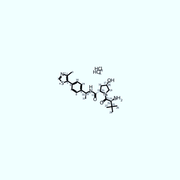 Cc1ncsc1-c1ccc([C@H](C)NC(=O)[C@@H]2C[C@@H](O)CN2C(=O)[C@@H](N)C(C)(C)C)cc1.Cl.Cl